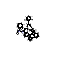 C=C1CC[N+]23c4c(cccc4C4(c5ccccc5-c5ccccc54)c4cccc(c42)-c2cc(-c4ccccc4)cc[n+]23)/C1=C/C(=C\C)c1ccccc1